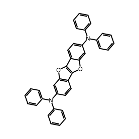 c1ccc(N(c2ccccc2)c2ccc3c(c2)oc2c4ccc(N(c5ccccc5)c5ccccc5)cc4oc32)cc1